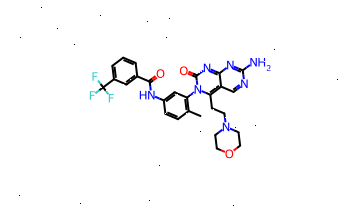 Cc1ccc(NC(=O)c2cccc(C(F)(F)F)c2)cc1-n1c(CCN2CCOCC2)c2cnc(N)nc2nc1=O